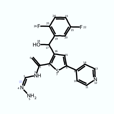 C=C(N/C=N\N)c1sc(-c2ccncc2)cc1C(O)c1cc(F)ccc1F